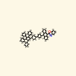 c1ccc(-c2cc(-c3ccc(-c4ccc(-c5c6ccccc6c(-c6nc7ccccc7o6)c6ccccc56)cc4)cc3)c(-c3ccccc3)c(-c3ccccc3)c2-c2ccccc2)cc1